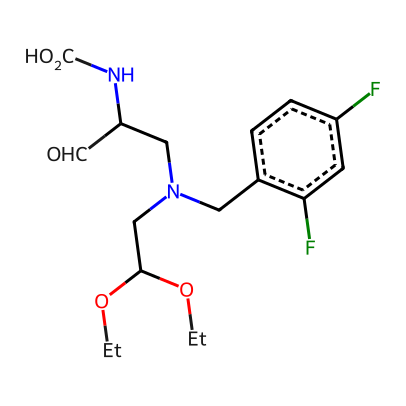 CCOC(CN(Cc1ccc(F)cc1F)CC(C=O)NC(=O)O)OCC